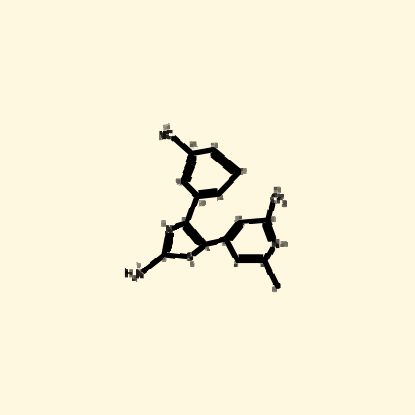 Cc1cc(-c2sc(N)nc2-c2cccc(C#N)c2)cc(C(F)(F)F)n1